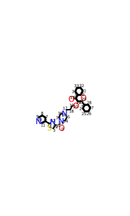 O=C([C@@H]1CSC(c2cccnc2)=N1)N1CCN(CCCOc2c(-c3ccccc3)oc3ccccc3c2=O)CC1